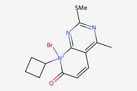 CSc1nc(C)c2c(n1)[N+](Br)(C1CCC1)C(=O)C=C2